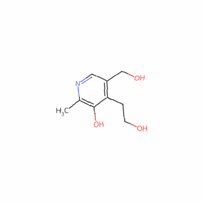 Cc1ncc(CO)c(CCO)c1O